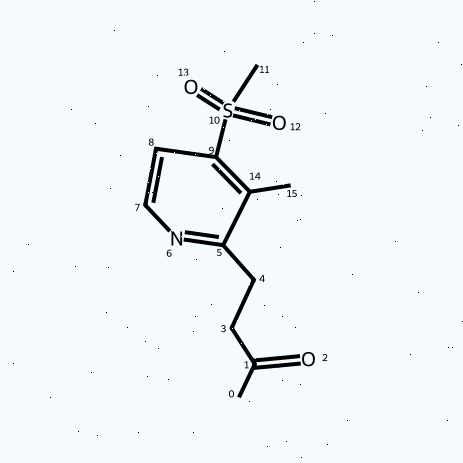 CC(=O)CCc1nccc(S(C)(=O)=O)c1C